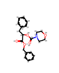 O=C(OCc1ccccc1)C(Cc1ccccc1)OC(=O)N1CCOCC1